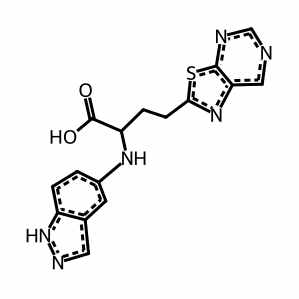 O=C(O)C(CCc1nc2cncnc2s1)Nc1ccc2[nH]ncc2c1